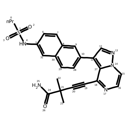 CCCS(=O)(=O)Nc1ccc2cc(-c3cnn4ccnc(C#CC(C)(C)C(N)=O)c34)ccc2c1